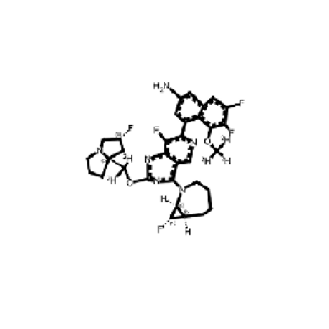 [2H]C([2H])([2H])Oc1c(F)c(F)cc2cc(N)cc(-c3ncc4c(N5CCCC[C@H]6[C@H](F)[C@H]65)nc(OC([2H])([2H])[C@@]56CCCN5C[C@H](F)C6)nc4c3F)c12